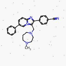 CN1CCCN(Cc2c(-c3ccc(C#N)cc3)nc3ccc(-c4ccccc4)cn23)CC1